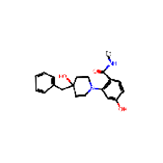 CCNC(=O)c1ccc(O)cc1N1CCC(O)(Cc2ccccc2)CC1